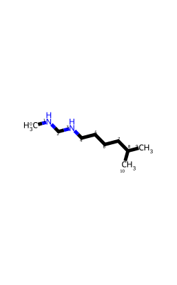 CNCNCCCCC(C)C